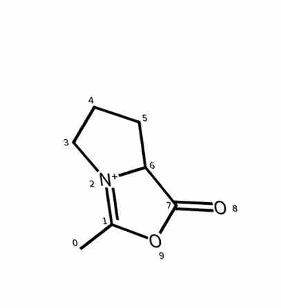 CC1=[N+]2CCCC2C(=O)O1